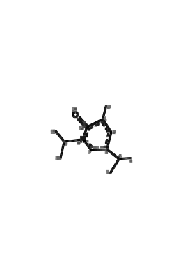 Cc1cc(C(C)C)cn(C(C)C)c1=O